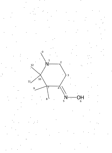 CN1CC/C(=N\O)C(C)(C)C1(C)C